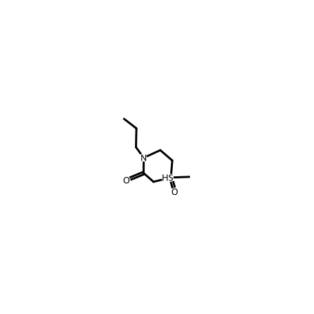 CCCN1CC[SH](C)(=O)CC1=O